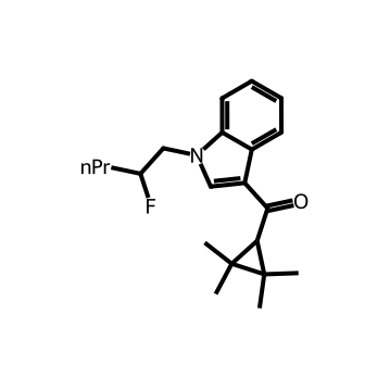 CCCC(F)Cn1cc(C(=O)C2C(C)(C)C2(C)C)c2ccccc21